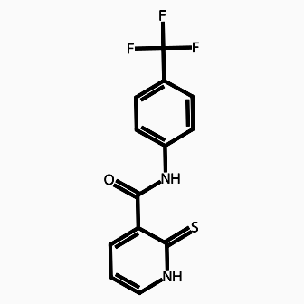 O=C(Nc1ccc(C(F)(F)F)cc1)c1ccc[nH]c1=S